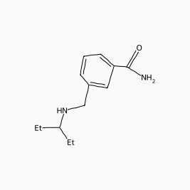 CCC(CC)NCc1cccc(C(N)=O)c1